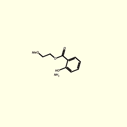 COCCOC(=O)c1ccccc1O.N